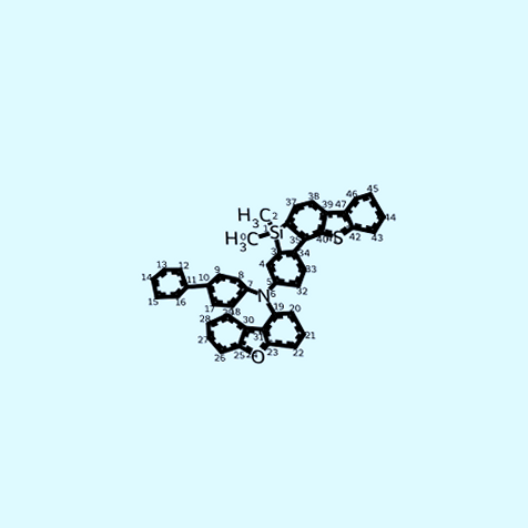 C[Si]1(C)c2cc(N(c3ccc(-c4ccccc4)cc3)c3cccc4oc5ccccc5c34)ccc2-c2c1ccc1c2sc2ccccc21